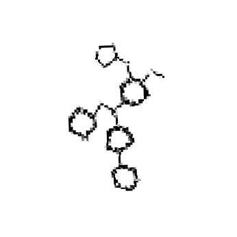 COc1ccc(N(Cc2cccnc2)c2ccc(-c3ccccc3)cc2)cc1OC1CCCC1